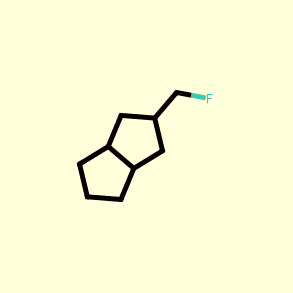 FCC1CC2CCCC2C1